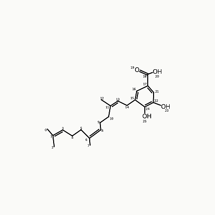 CC(C)=CCCC(C)=CCCC(C)=CCc1cc(C(=O)O)cc(O)c1O